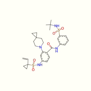 C=CC1(S(=O)(=O)Nc2ccc(C(=O)Nc3cccc(S(=O)(=O)NC(C)(C)C)c3)c(N3CCC4(CC3)CC4)c2)CC1